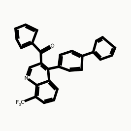 O=C(c1ccccc1)c1cnc2c(C(F)(F)F)cccc2c1-c1ccc(-c2ccccc2)cc1